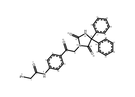 CC(C)CC(=O)Nc1ccc(C(=O)CN2C(=O)NC(c3ccccc3)(c3ccccc3)C2=O)cc1